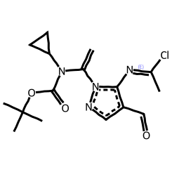 C=C(N(C(=O)OC(C)(C)C)C1CC1)n1ncc(C=O)c1/N=C(\C)Cl